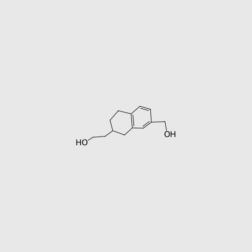 OCCC1CCc2ccc(CO)cc2C1